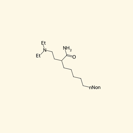 CCCCCCCCCCCCCCC(CCN(CC)CC)C(N)=O